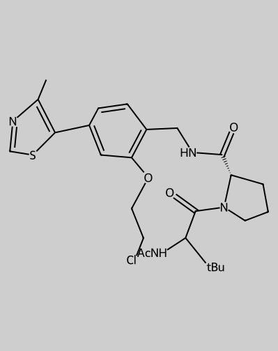 CC(=O)NC(C(=O)N1CCC[C@H]1C(=O)NCc1ccc(-c2scnc2C)cc1OCCCl)C(C)(C)C